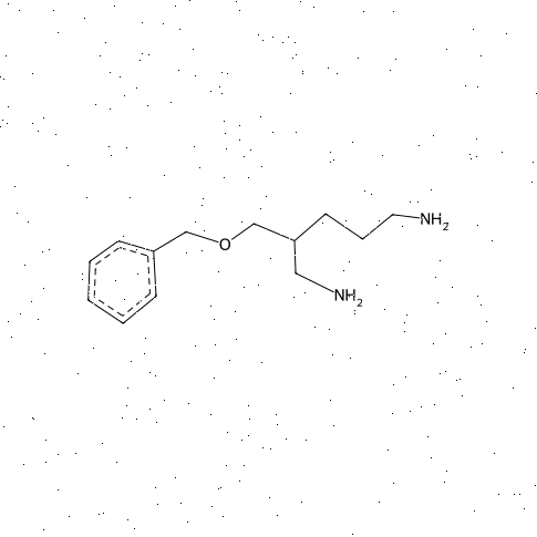 NCCCC(CN)COCc1ccccc1